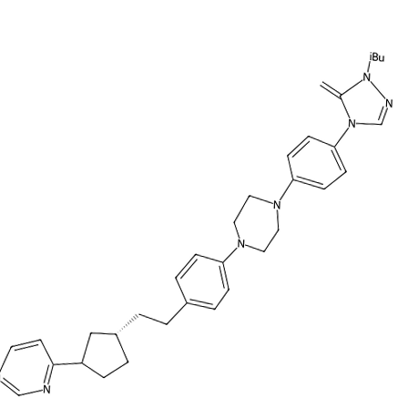 C=C1N(c2ccc(N3CCN(c4ccc(CC[C@@H]5CCC(c6ccncn6)C5)cc4)CC3)cc2)C=NN1C(C)CC